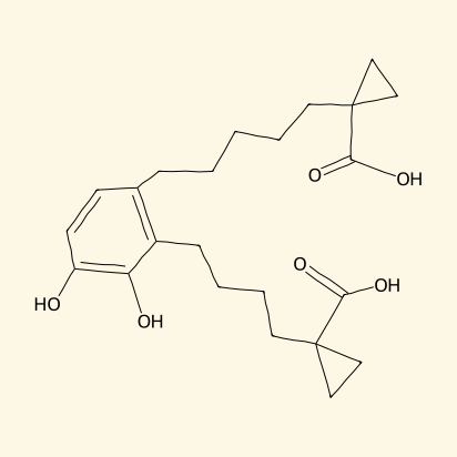 O=C(O)C1(CCCCCc2ccc(O)c(O)c2CCCCC2(C(=O)O)CC2)CC1